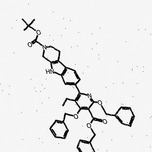 CCc1c(-c2ccc3c4c([nH]c3c2)CN(C(=O)OC(C)(C)C)CC4)nc(OCc2ccccc2)c(C(=O)OCc2ccccc2)c1OCc1ccccc1